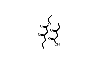 CCC(=O)CC(=O)O.CCCC(=O)CC(=O)OCC